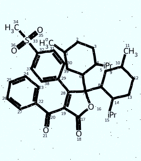 CC1CCC(C(C)C)C(C2(C3CC(C)CCC3C(C)C)OC(=O)C(C(=O)c3ccccc3)=C2c2ccc(S(C)(=O)=O)cc2)C1